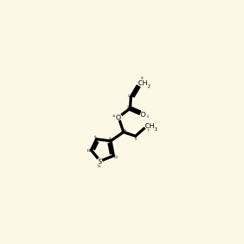 C=CC(=O)OC(CC)c1ccsc1